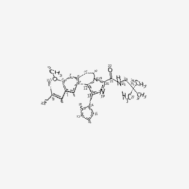 COc1cc2c(cc1C=C(F)F)-c1c(-c3cccs3)nc(C(=O)NCC(C)(C)C)n1CC2